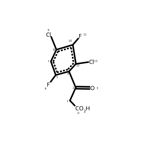 O=C(O)CC(=O)c1c(F)cc(Cl)c(F)c1Cl